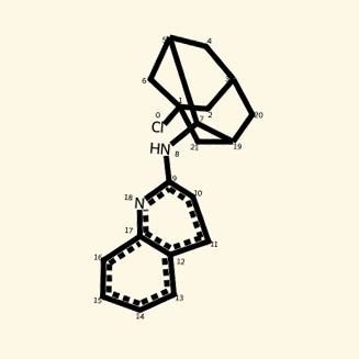 ClC12CC3CC(C1)C(Nc1ccc4ccccc4n1)C(C3)C2